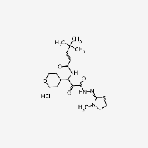 CN1CCSC1=NNC(=O)C(=O)C(NC(=O)C=CC(C)(C)C)C1CCOCC1.Cl